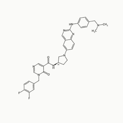 CN(C)Cc1ccc(Nc2ncc3cc(N4CC[C@@H](NC(=O)c5cncn(Cc6ccc(F)c(F)c6)c5=O)C4)ccc3n2)cc1